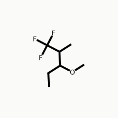 CCC(OC)C(C)C(F)(F)F